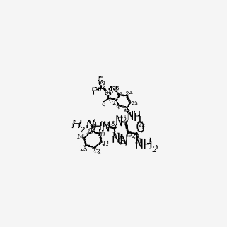 Cc1c2cc(Nc3nc(N[C@@H]4CCCC[C@@H]4N)nnc3C(N)=O)ccc2nn1C(F)F